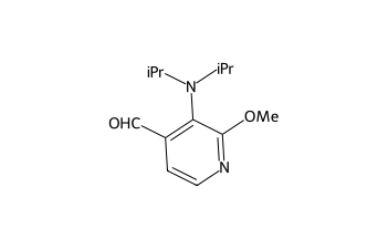 COc1nccc(C=O)c1N(C(C)C)C(C)C